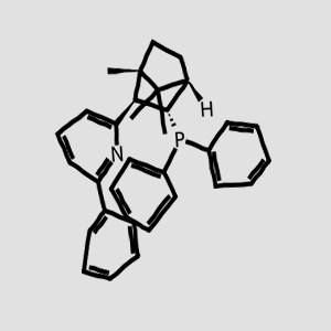 CC1(C)[C@@H]2CC[C@@]1(C)[C@H](c1cccc(-c3ccccc3)n1)[C@H]2P(c1ccccc1)c1ccccc1